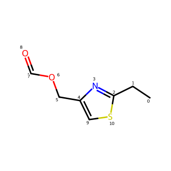 CCc1nc(CO[C]=O)cs1